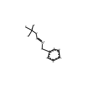 CC(C)(C)C/C=N/Cc1ccccc1